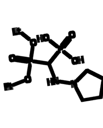 CCOP(=O)(OCC)C(NN1CCCC1)P(=O)(O)O